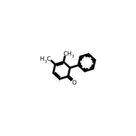 CC1=C(C)C(c2ccccc2)C(=O)[C]=C1